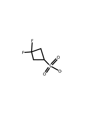 [O]S(=O)(=O)C1CC(F)(F)C1